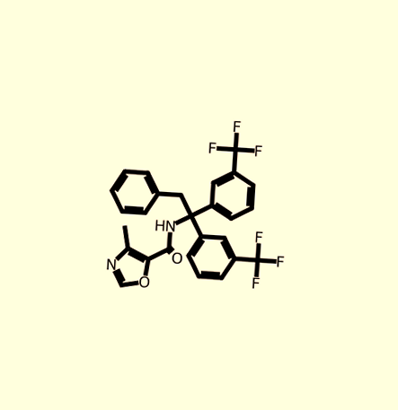 Cc1ncoc1C(=O)NC(Cc1ccccc1)(c1cccc(C(F)(F)F)c1)c1cccc(C(F)(F)F)c1